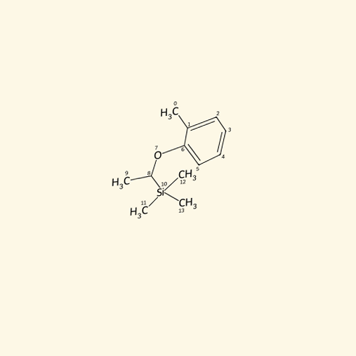 Cc1ccccc1OC(C)[Si](C)(C)C